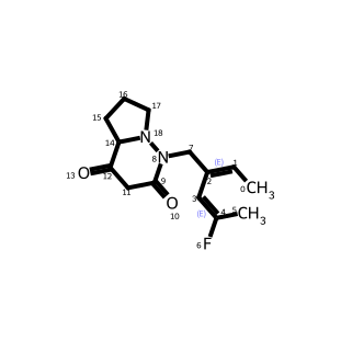 C/C=C(\C=C(/C)F)CN1C(=O)CC(=O)C2CCCN21